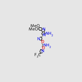 COc1cc2ncc3c(N)nc(-c4cncc(OC[C@@H](N)COc5ccc(C(F)(F)F)cn5)c4)cc3c2cc1OC